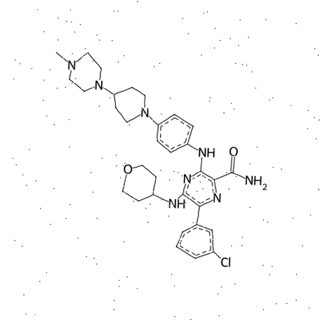 CN1CCN(C2CCN(c3ccc(Nc4nc(NC5CCOCC5)c(-c5cccc(Cl)c5)nc4C(N)=O)cc3)CC2)CC1